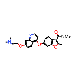 CNC(=O)c1c(C)oc2cc(Oc3ccnc4cc(OCCN(C)C)ccc34)ccc12